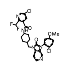 COc1ccc(Cl)c(-n2c(=O)n(CC3CCC(NC(=O)c4cc(Cl)cnc4C(F)F)CC3)c3ccncc32)c1